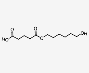 O=C(O)CCCC(=O)OCCCCCCO